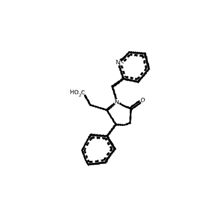 O=C(O)CC1C(c2ccccc2)CC(=O)N1Cc1ccccn1